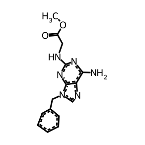 COC(=O)CNc1nc(N)c2ncn(Cc3ccccc3)c2n1